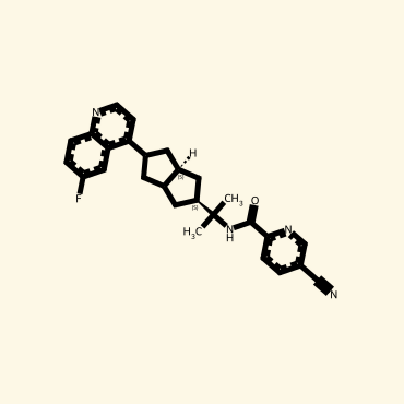 CC(C)(NC(=O)c1ccc(C#N)cn1)[C@H]1CC2CC(c3ccnc4ccc(F)cc34)C[C@H]2C1